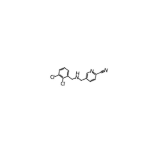 N#Cc1ccc(CNCc2cccc(Cl)c2Cl)cn1